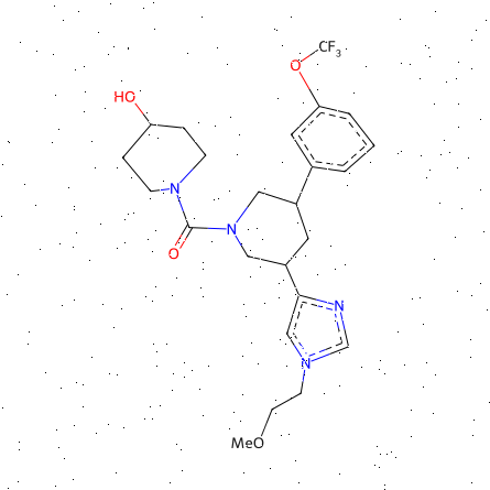 COCCn1cnc(C2CC(c3cccc(OC(F)(F)F)c3)CN(C(=O)N3CCC(O)CC3)C2)c1